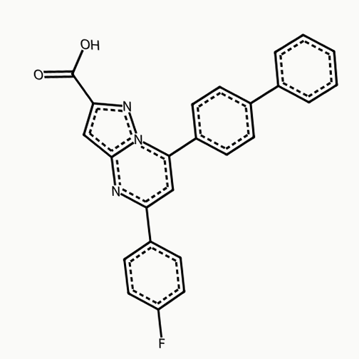 O=C(O)c1cc2nc(-c3ccc(F)cc3)cc(-c3ccc(-c4ccccc4)cc3)n2n1